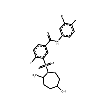 CC1CCC(O)CCN1S(=O)(=O)c1cc(C(=O)Nc2ccc(F)c(F)c2)ccc1F